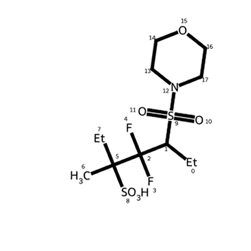 CCC(C(F)(F)C(C)(CC)S(=O)(=O)O)S(=O)(=O)N1CCOCC1